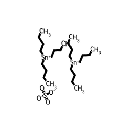 CCC[CH2][Sn+]([CH2]CCC)[CH2]CCC.CCC[CH2][Sn+]([CH2]CCC)[CH2]CCC.O=S(=O)([O-])[O-]